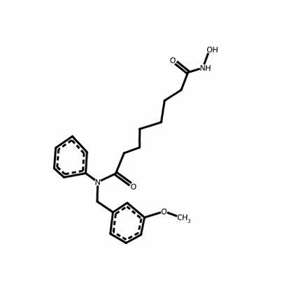 COc1cccc(CN(C(=O)CCCCCCC(=O)NO)c2ccccc2)c1